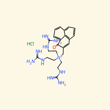 Cl.N=C(N)NCC[N+](CCNC(=N)N)(CCNC(=N)N)CC1=Cc2cccc3cccc(c23)C1=O